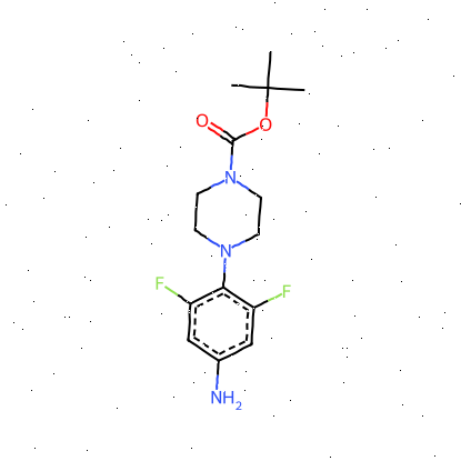 CC(C)(C)OC(=O)N1CCN(c2c(F)cc(N)cc2F)CC1